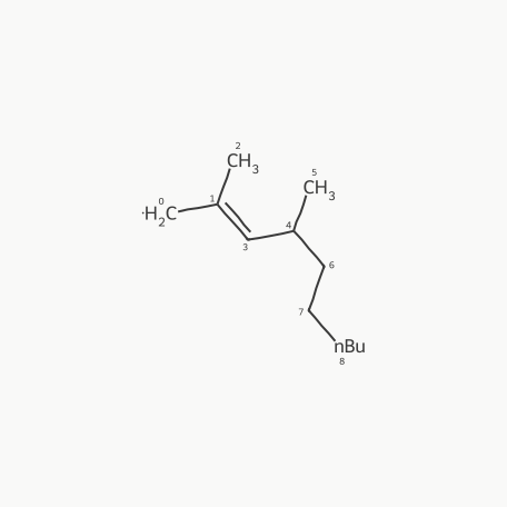 [CH2]C(C)=CC(C)CCCCCC